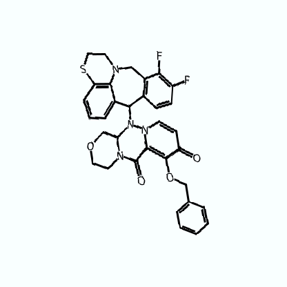 O=C1c2c(OCc3ccccc3)c(=O)ccn2N(C2c3ccc(F)c(F)c3CN3CCSc4cccc2c43)C2COCCN12